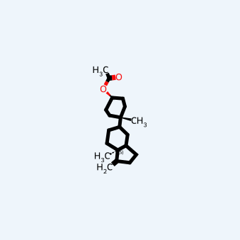 C=C1CCC2CC([C@]3(C)CC[C@@H](OC(C)=O)CC3)CC[C@]12C